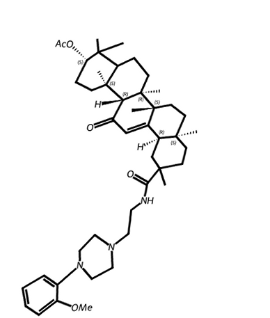 COc1ccccc1N1CCN(CCNC(=O)C2(C)CC[C@]3(C)CC[C@]4(C)C(=CC(=O)[C@@H]5[C@@]6(C)CC[C@H](OC(C)=O)C(C)(C)C6CC[C@]54C)[C@@H]3C2)CC1